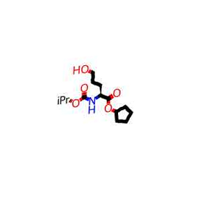 CC(C)OC(=O)N[C@@H](CCCO)C(=O)OC1CCCC1